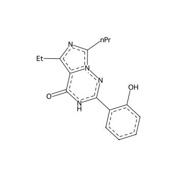 CCCc1nc(CC)c2c(=O)[nH]c(-c3ccccc3O)nn12